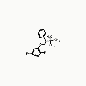 CC(C)(C)C(COc1cc(F)ccc1F)c1ccccc1